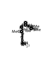 COc1cc(Nc2cc(Oc3ccc(NC(=O)Nc4cc(C(C)(C)C)cc(NSC)c4OC)c4ccccc34)ccn2)cc(OCCOCCOC/C(=N/N)NN)c1